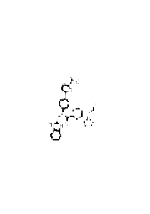 Cn1c(CN(C(=O)C2CCCCC2)c2ccc(-c3ccc(C(=O)O)o3)cc2)nc2ccccc21.NCCN1CCCC1